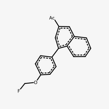 CC(=O)c1cc(-c2ccc(OCF)cc2)c2ccccc2c1